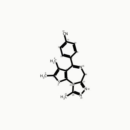 Cc1sc2c(c1C)C(c1ccc(C#N)cc1)=NCc1nnc(C)n1-2